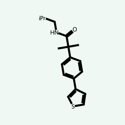 CC(C)CNC(=O)C(C)(C)c1ccc(-c2ccsc2)cc1